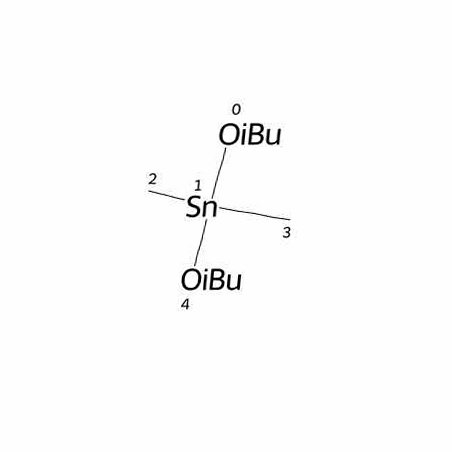 CC(C)C[O][Sn]([CH3])([CH3])[O]CC(C)C